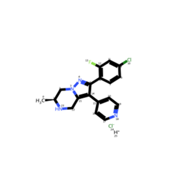 C[C@H]1Cn2nc(-c3ccc(Cl)cc3F)c(-c3ccncc3)c2CN1.[Cl-].[H+]